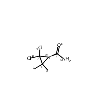 CC1(C)[C@H](C(N)=O)C1(Cl)Cl